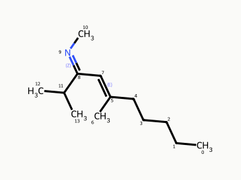 CCCCC/C(C)=C/C(=N\C)C(C)C